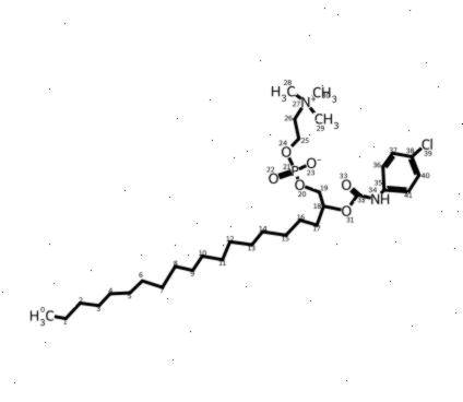 CCCCCCCCCCCCCCCCCCC(COP(=O)([O-])OCC[N+](C)(C)C)OC(=O)Nc1ccc(Cl)cc1